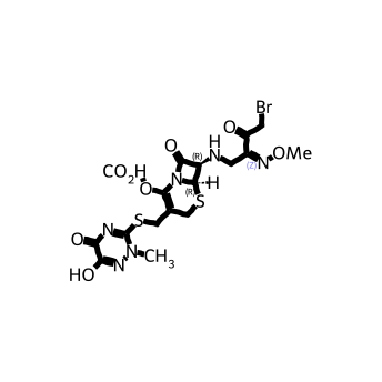 CO/N=C(/CN[C@@H]1C(=O)N2C(OC(=O)O)=C(CSc3nc(=O)c(O)nn3C)CS[C@H]12)C(=O)CBr